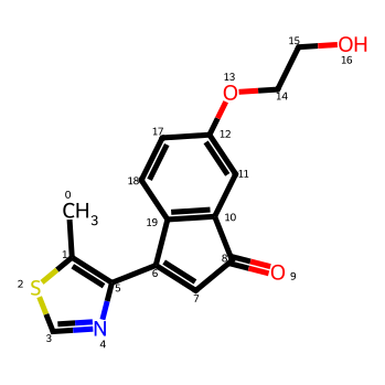 Cc1scnc1C1=CC(=O)c2cc(OCCO)ccc21